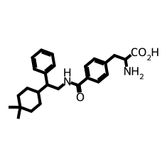 CC1(C)CCC(C(CNC(=O)c2ccc(CC(N)C(=O)O)cc2)c2ccccc2)CC1